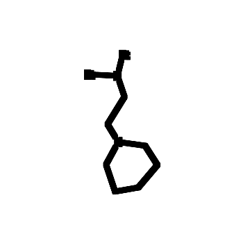 CCN(CC)CCN1CCCCC1